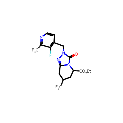 CCOC(=O)C1CC(C(F)(F)F)Cc2nn(Cc3ccnc(C(F)(F)F)c3F)c(=O)n21